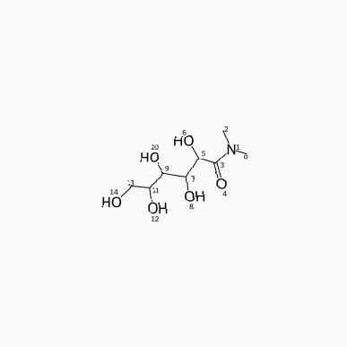 CN(C)C(=O)C(O)C(O)C(O)C(O)CO